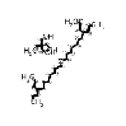 CC=CC(C=CC)CCCCCCCOCCCCCCCC(C=CC)C=CC.CCC(CO)(CO)CO